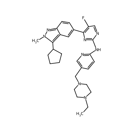 CCN1CCN(Cc2ccc(Nc3ncc(F)c(-c4ccc5nn(C)c(C6CCCC6)c5c4)n3)nc2)CC1